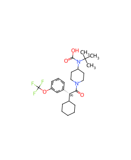 CC(C)(C)N(C(=O)O)C1CCN(C(=O)[C@@H](c2cccc(OC(F)(F)F)c2)C2CCCCC2)CC1